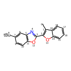 Cc1c(-c2nc3cc(C(C)(C)C)ccc3o2)oc2ccccc12